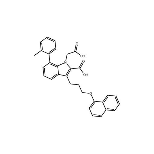 Cc1ccccc1-c1cccc2c(CCCOc3cccc4ccccc34)c(C(=O)O)n(CC(=O)O)c12